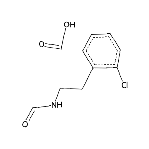 O=CNCCc1ccccc1Cl.O=CO